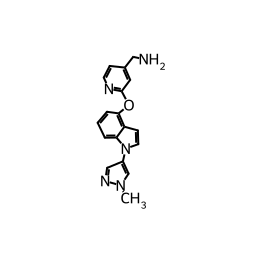 Cn1cc(-n2ccc3c(Oc4cc(CN)ccn4)cccc32)cn1